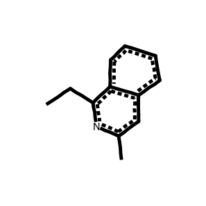 CCc1nc(C)cc2ccccc12